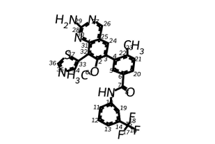 COc1c(-c2cc(C(=O)Nc3cccc(C(F)(F)F)c3)ccc2C)cc2cnc(N)nc2c1-c1cncs1